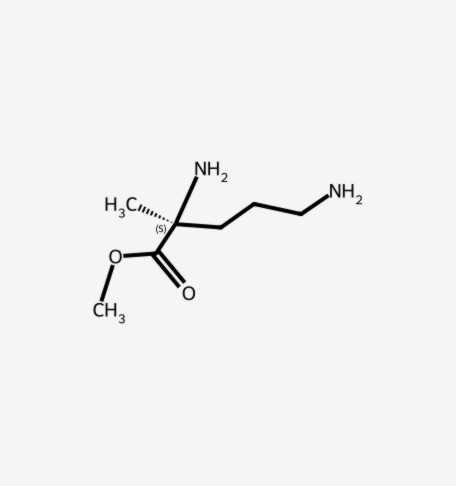 COC(=O)[C@@](C)(N)CCCN